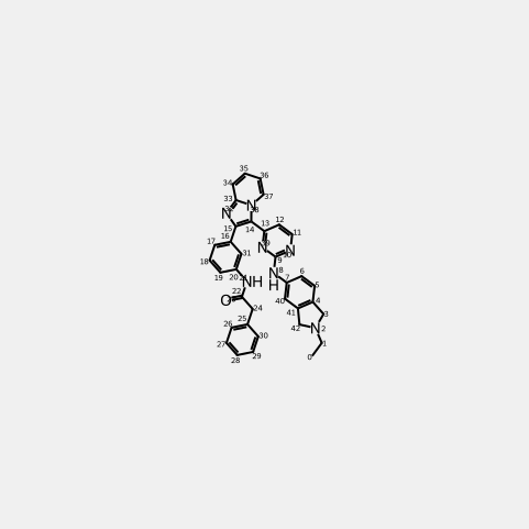 CCN1Cc2ccc(Nc3nccc(-c4c(-c5cccc(NC(=O)Cc6ccccc6)c5)nc5ccccn45)n3)cc2C1